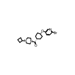 O=C([C@H]1CC[C@H](Oc2ccc(Br)nc2)CC1)N1CCN(C2CCC2)CC1